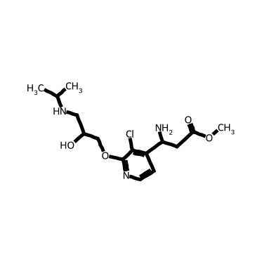 COC(=O)CC(N)c1ccnc(OCC(O)CNC(C)C)c1Cl